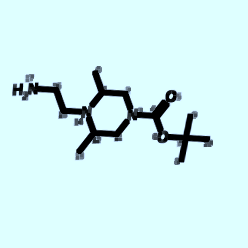 CC1CN(C(=O)OC(C)(C)C)CC(C)N1CCN